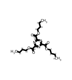 CCCCOC(=O)c1nc(C(=O)OCCCC)nc(C(=O)OCCCC)n1